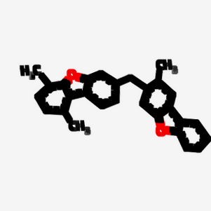 Cc1cc2c(cc1Cc1ccc3c(c1)oc1c(C)ccc(C)c13)oc1ccccc12